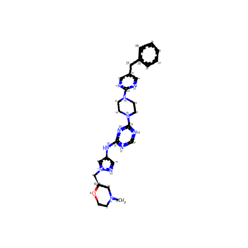 CN1CCO[C@@H](Cn2cc(Nc3ncnc(N4CCN(c5ncc(Cc6ccccc6)cn5)CC4)n3)cn2)C1